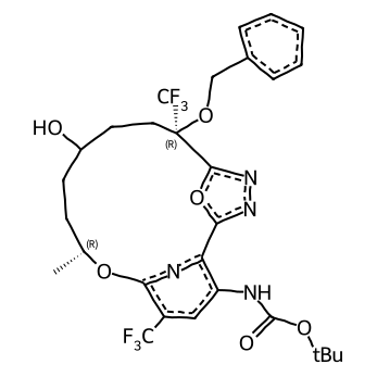 C[C@@H]1CCC(O)CC[C@](OCc2ccccc2)(C(F)(F)F)c2nnc(o2)-c2nc(c(C(F)(F)F)cc2NC(=O)OC(C)(C)C)O1